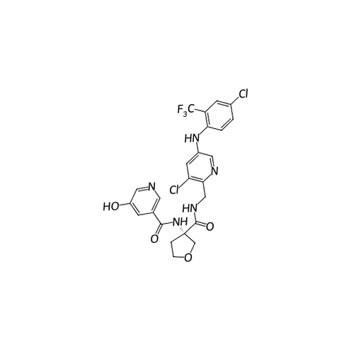 O=C(N[C@@]1(C(=O)NCc2ncc(Nc3ccc(Cl)cc3C(F)(F)F)cc2Cl)CCOC1)c1cncc(O)c1